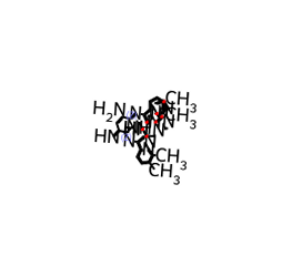 Cc1ccc2c(/N=C3\N/C(=N\c4c(NCCn5ccnc5)nn5c(C)c(C)ccc45)C(N)=CC3=N)c(NCCn3ccnc3)nn2c1C